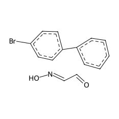 Brc1ccc(-c2ccccc2)cc1.O=CC=NO